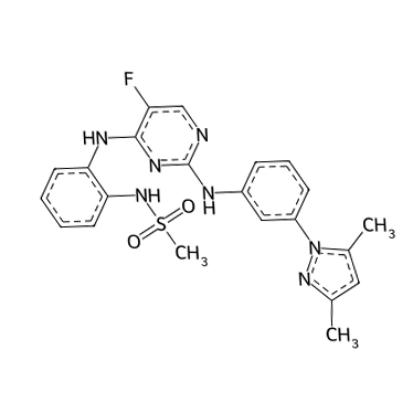 Cc1cc(C)n(-c2cccc(Nc3ncc(F)c(Nc4ccccc4NS(C)(=O)=O)n3)c2)n1